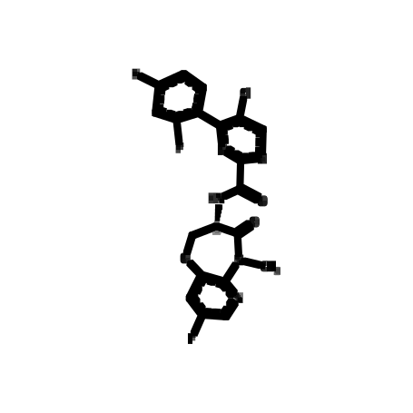 CN1C(=O)[C@@H](NC(=O)c2ncc(Cl)c(-c3ccc(F)cc3F)n2)COc2cc(F)cnc21